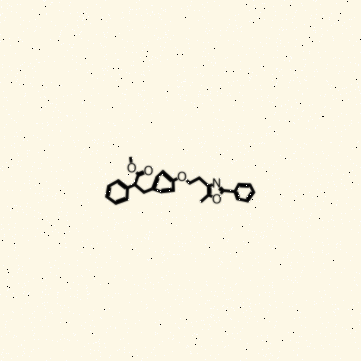 COC(=O)C(Cc1ccc(OCCc2nc(-c3ccccc3)oc2C)cc1)c1ccccc1